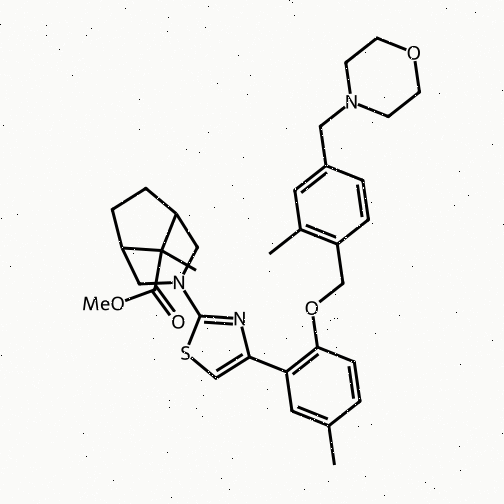 COC(=O)C1(C)C2CCC1CN(c1nc(-c3cc(C)ccc3OCc3ccc(CN4CCOCC4)cc3C)cs1)C2